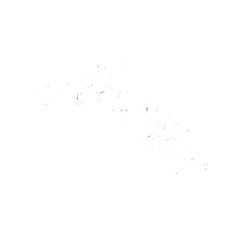 CCC(C)[C@H](NC(=O)[C@@H](N)Cc1c[nH]cn1)C(=O)O[C@@H]1CC[C@@]2(C)[C@@H](CC[C@@H]3[C@@H]2CC[C@]2(C)[C@@H](C(C)=O)CC[C@@H]32)C1